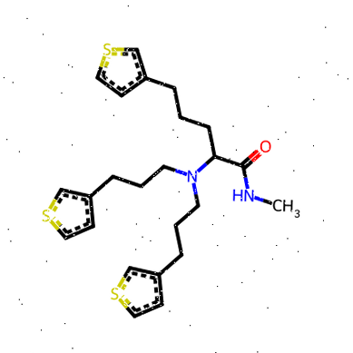 CNC(=O)C(CCCc1ccsc1)N(CCCc1ccsc1)CCCc1ccsc1